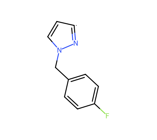 Fc1ccc(Cn2cc[c]n2)cc1